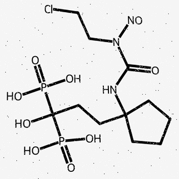 O=NN(CCCl)C(=O)NC1(CCC(O)(P(=O)(O)O)P(=O)(O)O)CCCC1